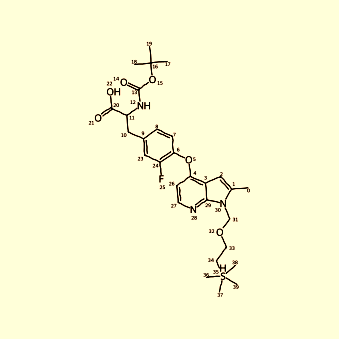 Cc1cc2c(Oc3ccc(CC(NC(=O)OC(C)(C)C)C(=O)O)cc3F)ccnc2n1COCC[SH](C)(C)(C)C